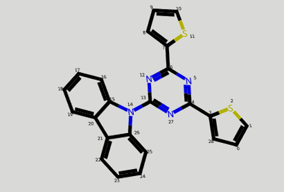 c1csc(-c2nc(-c3cccs3)nc(-n3c4ccccc4c4ccccc43)n2)c1